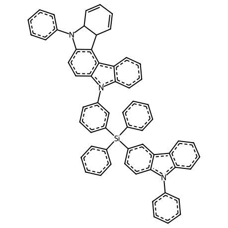 C1=CC2c3c(ccc4c3c3ccccc3n4-c3cccc([Si](c4ccccc4)(c4ccccc4)c4ccc5c(c4)c4ccccc4n5-c4ccccc4)c3)N(c3ccccc3)C2C=C1